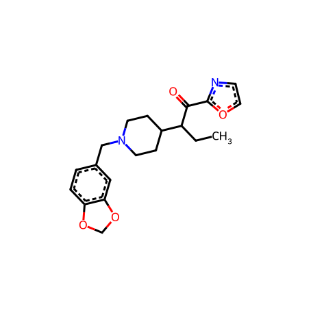 CCC(C(=O)c1ncco1)C1CCN(Cc2ccc3c(c2)OCO3)CC1